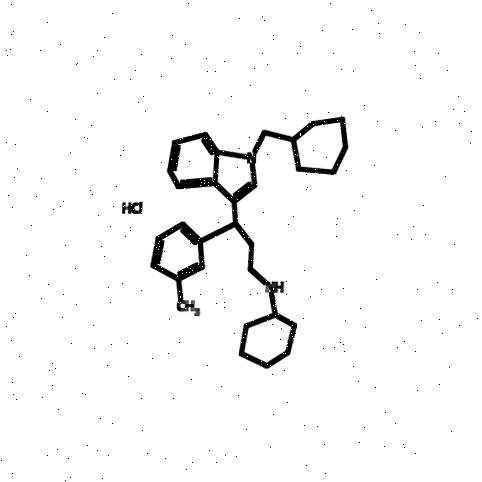 Cc1cccc(C(CCNC2CCCCC2)c2cn(CC3CCCCC3)c3ccccc23)c1.Cl